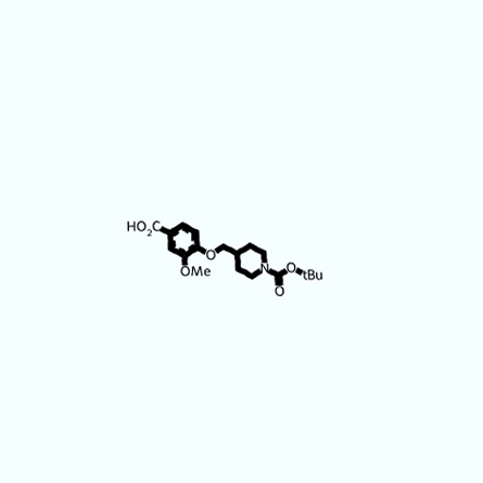 COc1cc(C(=O)O)ccc1OCC1CCN(C(=O)OC(C)(C)C)CC1